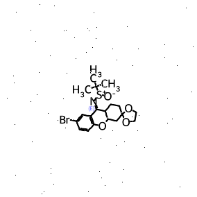 CC(C)(C)[S+]([O-])/N=C1/c2cc(Br)ccc2OC2CC3(CCC12)OCCO3